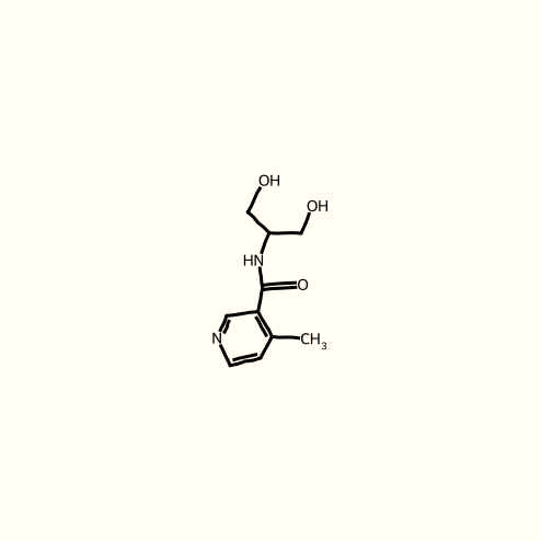 Cc1ccncc1C(=O)NC(CO)CO